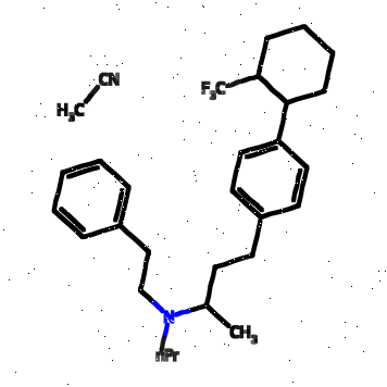 CC#N.CCCN(CCc1ccccc1)C(C)CCc1ccc(C2CCCCC2C(F)(F)F)cc1